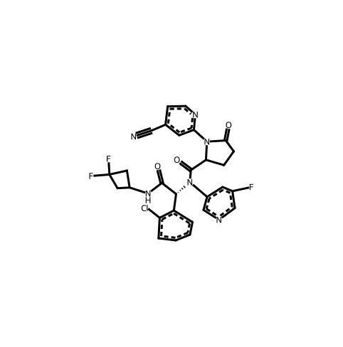 N#Cc1ccnc(N2C(=O)CCC2C(=O)N(c2cncc(F)c2)[C@@H](C(=O)NC2CC(F)(F)C2)c2ccccc2Cl)c1